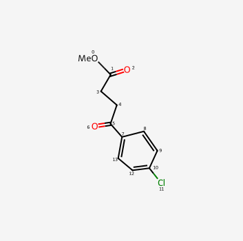 COC(=O)CCC(=O)c1ccc(Cl)cc1